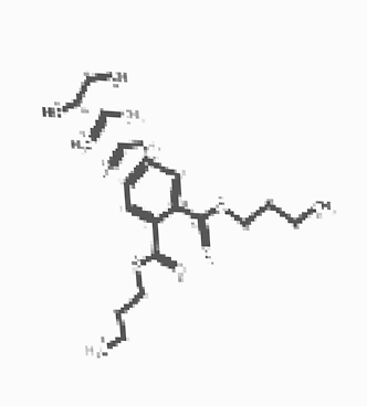 C=CC.C=CC.CCCCOC(=O)c1ccccc1C(=O)OCCCC.OCCO